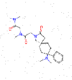 CN(C)C(=O)CN(C)C(=O)CN1C[C@]2(CC[C@](c3ccccc3)(N(C)C)CC2)CC1=O